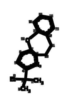 CCC(C)(C)c1ccc2c(n1)CCc1ccccc1O2